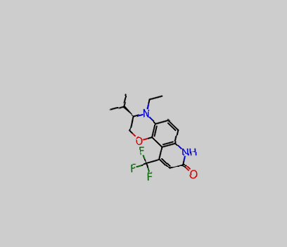 CCN1c2ccc3[nH]c(=O)cc(C(F)(F)F)c3c2OC[C@H]1C(C)C